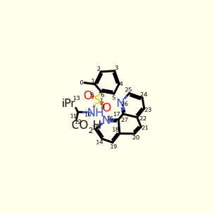 Cc1ccccc1S(=O)(=O)NC(C(=O)O)C(C)C.c1cnc2c(c1)ccc1cccnc12